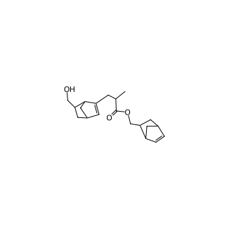 CC(CC1=CC2CC(CO)C1C2)C(=O)OCC1CC2C=CC1C2